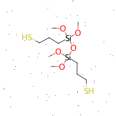 CO[Si](CCCS)(OC)O[Si](CCCS)(OC)OC